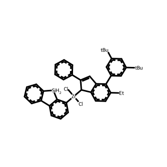 CCc1ccc2c(c1-c1cc(C(C)(C)C)cc(C(C)(C)C)c1)C=C(c1ccccc1)[CH]2[Zr]([Cl])([Cl])[c]1cccc2c1[SiH2]c1ccccc1-2